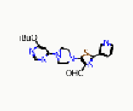 CC(C)COc1cc(N2CCN(c3sc(-c4cccnc4)nc3C=O)CC2)ncn1